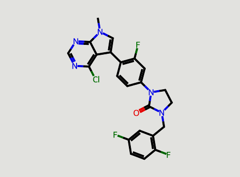 Cn1cc(-c2ccc(N3CCN(Cc4cc(F)ccc4F)C3=O)cc2F)c2c(Cl)ncnc21